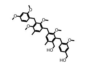 COc1ccc(Cc2c(OC)c(C)cc(Cc3cc(C)c(CO)c(Cc4ccc(CO)cc4OC)c3OC)c2OC)c(OC)c1